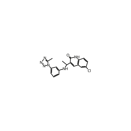 Cc1nnnn1-c1cccc(NC(C)c2cc3cc(Cl)ccc3[nH]c2=O)c1